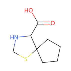 O=C(O)C1NCSC12CCCC2